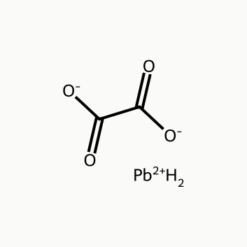 O=C([O-])C(=O)[O-].[PbH2+2]